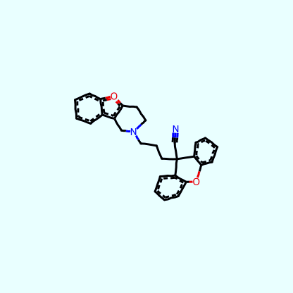 N#CC1(CCCN2CCc3oc4ccccc4c3C2)c2ccccc2Oc2ccccc21